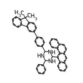 CC1(C)c2ccccc2-c2cc(-c3ccc(C4NC(c5ccccc5)NC(c5c6ccccc6cc6ccc7ccccc7c56)N4)cc3)ccc21